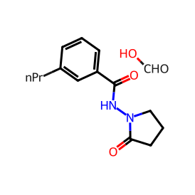 CCCc1cccc(C(=O)NN2CCCC2=O)c1.O=CO